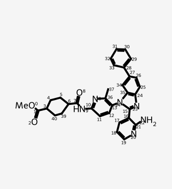 COC(=O)C1CCC(C(=O)Nc2ccc(-n3c(-c4cccnc4N)nc4ccc(-c5ccccc5)cc43)c(C)n2)CC1